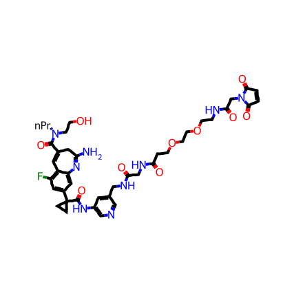 CCCN(CCO)C(=O)C1=Cc2c(F)cc(C3(C(=O)Nc4cncc(CNC(=O)CNC(=O)CCOCCOCCNC(=O)CN5C(=O)C=CC5=O)c4)CC3)cc2N=C(N)C1